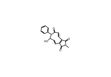 CN1C(=O)C2=C(/C=C/C(O)N(c3ccccc3)C(=O)/C=C/2)C1=O